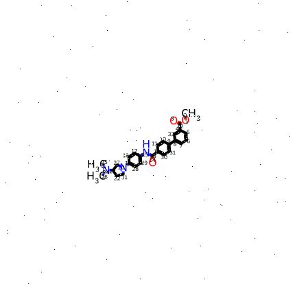 COC(=O)c1cccc(-c2ccc(C(=O)Nc3ccc(N4CCC(N(C)C)C4)cc3)cc2)c1